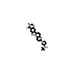 Cn1cnc2cc(-c3ccc4nc(N5CCC(NC(C)(C)C)C5)ccc4n3)c(O)cc2c1=O